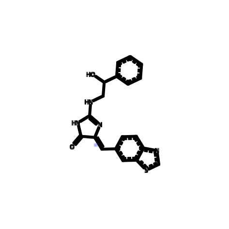 O=C1NC(NCC(O)c2ccccc2)=N/C1=C\c1ccc2ncsc2c1